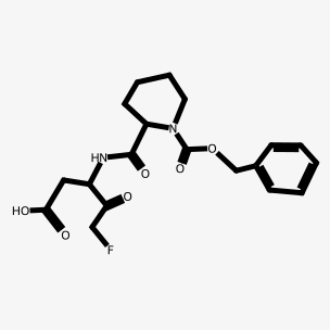 O=C(O)CC(NC(=O)C1CCCCN1C(=O)OCc1ccccc1)C(=O)CF